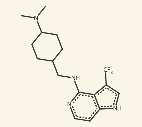 CN(C)C1CCC(CNc2nccc3[nH]cc(C(F)(F)F)c23)CC1